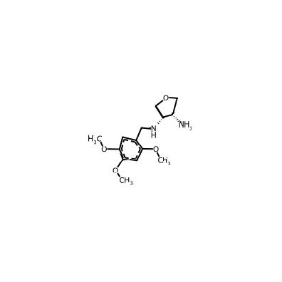 COc1cc(OC)c(OC)cc1CN[C@@H]1COC[C@@H]1N